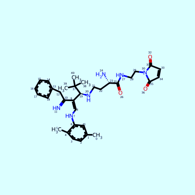 Cc1ccc(C)c(N/C=C(\C(=N)Cc2ccccc2)[C@H](NCC[C@H](N)C(=O)NCCN2C(=O)C=CC2=O)C(C)(C)C)c1